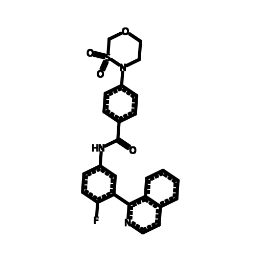 O=C(Nc1ccc(F)c(-c2nccc3ccccc23)c1)c1ccc(N2CCOCS2(=O)=O)cc1